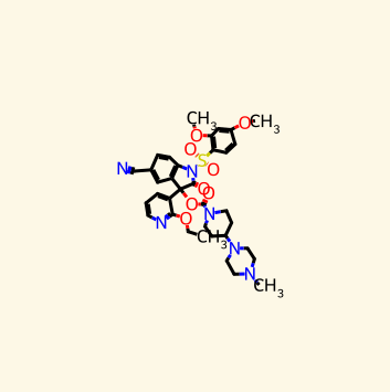 CCOc1ncccc1C1(OC(=O)N2CCC(N3CCN(C)CC3)CC2)C(=O)N(S(=O)(=O)c2ccc(OC)cc2OC)c2ccc(C#N)cc21